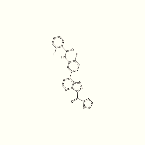 O=C(Nc1cc(-c2ccnc3c(C(=O)c4cccs4)cnn23)ccc1F)c1ccccc1F